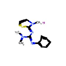 CN(C)C(=Nc1ccccc1)N=c1sccn1C.I